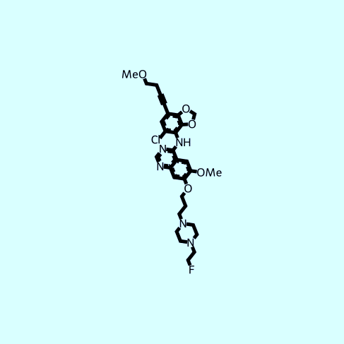 COCCC#Cc1cc(Cl)c(Nc2ncnc3cc(OCCCN4CCN(CCF)CC4)c(OC)cc23)c2c1OCO2